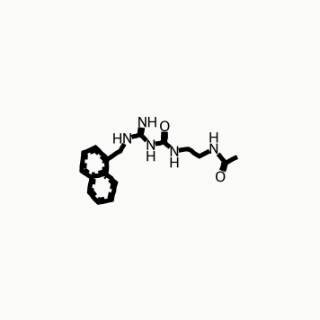 CC(=O)NCCNC(=O)NC(=N)NCc1cccc2ccccc12